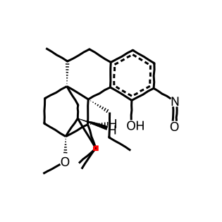 CCC[C@@]12c3c(ccc(N=O)c3O)CC(C)[C@]13CC[C@@](OC)([C@@H](CC)C3)[C@@H]2CC